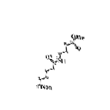 CCCCCCCCCCCCCC(=O)NCCCC(=O)OC